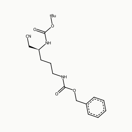 CC(C)(C)OC(=O)N[C@H](CC#N)CCCNC(=O)OCc1ccccc1